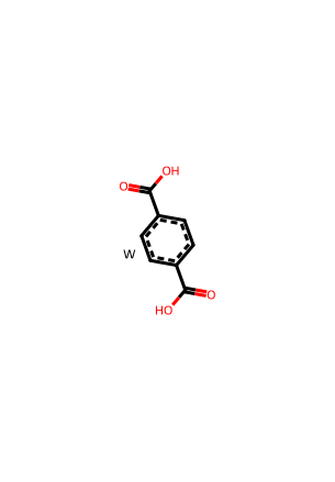 O=C(O)c1ccc(C(=O)O)cc1.[W]